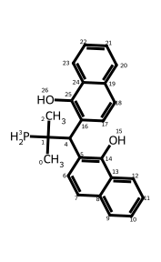 CC(C)(P)C(c1ccc2ccccc2c1O)c1ccc2ccccc2c1O